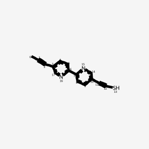 CC#Cc1ccc(-c2ccc(C#CS)cn2)nc1